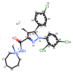 C[C@@H]1C(C(=O)N[N+]2(C)CCCCCC2)=NN(c2ccc(Cl)cc2Cl)[C@@H]1c1ccc(Cl)cc1.[I-]